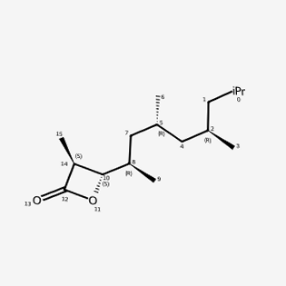 CC(C)C[C@@H](C)C[C@@H](C)C[C@@H](C)[C@@H]1OC(=O)[C@H]1C